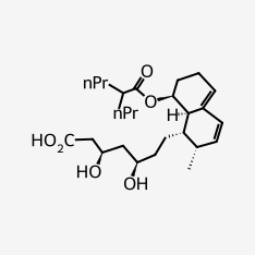 CCCC(CCC)C(=O)O[C@H]1CCC=C2C=C[C@H](C)[C@H](CC[C@@H](O)C[C@@H](O)CC(=O)O)[C@H]21